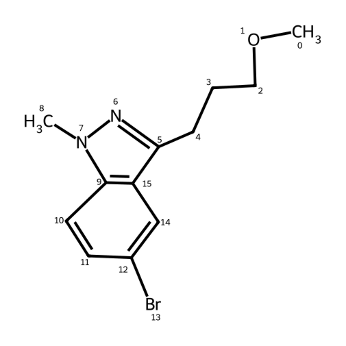 COCCCc1nn(C)c2ccc(Br)cc12